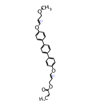 C=CC(=O)OC/C=C/Oc1ccc(-c2ccc(-c3ccc(O/C=C/COC)cc3)cc2)cc1